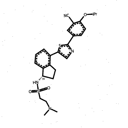 CC(C)Oc1ccc(-c2ncc(-c3cccc4c3CC[C@@H]4NS(=O)(=O)CCN(C)C)s2)cc1C#N